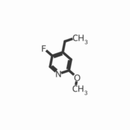 CCc1cc(OC)ncc1F